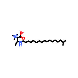 CCC(NCCCCCCCCCCCCCCCC(C)C)C(C(=O)[O-])[N+](C)(C)C